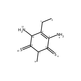 CCC1=C(N)C(=S)C(C)C(=S)C1N